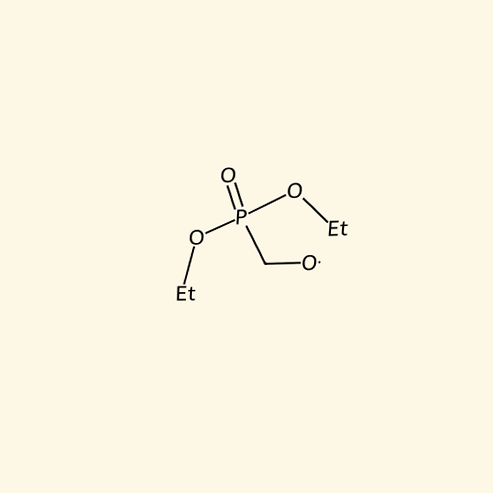 CCOP(=O)(C[O])OCC